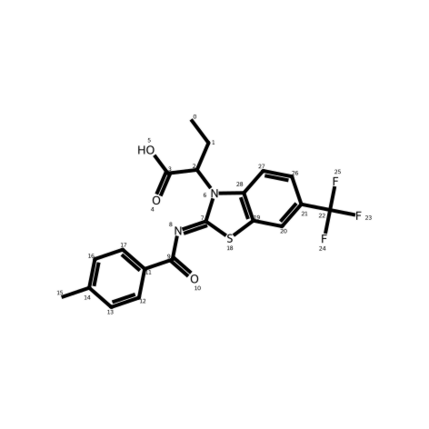 CCC(C(=O)O)n1c(=NC(=O)c2ccc(C)cc2)sc2cc(C(F)(F)F)ccc21